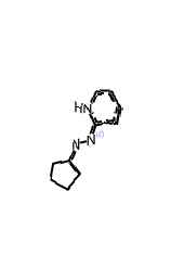 c1cc/c(=N/N=C2CCCC2)[nH]c1